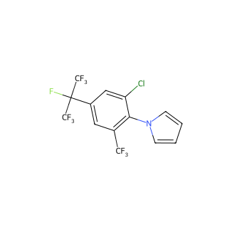 FC(F)(F)c1cc(C(F)(C(F)(F)F)C(F)(F)F)cc(Cl)c1-n1cccc1